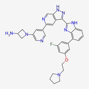 NC1CN(c2cncc(-c3cc4c(-c5nc6c(-c7cc(F)cc(OCCN8CCCC8)c7)cccc6[nH]5)n[nH]c4cn3)c2)C1